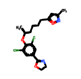 Cc1cc(CCCCC(C)Oc2c(Cl)cc(C3=NCCO3)cc2Cl)on1